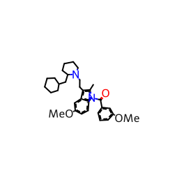 COc1cccc(C(=O)n2c(C)c(CCN3CCCCC3CC3CCCCC3)c3cc(OC)ccc32)c1